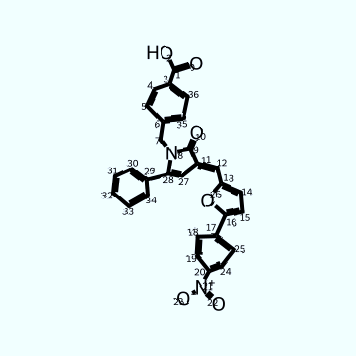 O=C(O)c1ccc(CN2C(=O)/C(=C/c3ccc(-c4ccc([N+](=O)[O-])cc4)o3)C=C2c2ccccc2)cc1